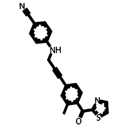 Cc1cc(C#CCNc2ccc(C#N)cc2)ccc1C(=O)c1nccs1